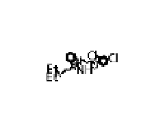 CCN(CC)CCCn1c(=N)n(CCCOc2ccc(Cl)cc2Cl)c2ccccc21